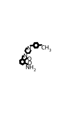 CCc1ccc(CN2CCC(N3Cc4cccc(C(N)=O)c4C3=O)CC2)cc1